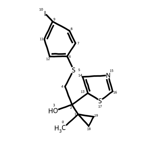 CC1(C(O)(CSc2ccc(I)cc2)c2cncs2)CC1